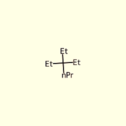 [CH2]CCC(CC)(CC)CC